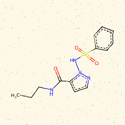 CCCNC(=O)c1ccnn1NS(=O)(=O)c1ccccc1